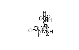 O=C1NC(=O)C(=Cc2cnn3c(NC4CC4)nc(Nc4cccc(Cl)c4)nc23)N1